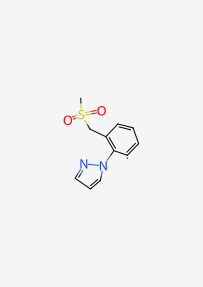 CS(=O)(=O)Cc1ccc[c]c1-n1cccn1